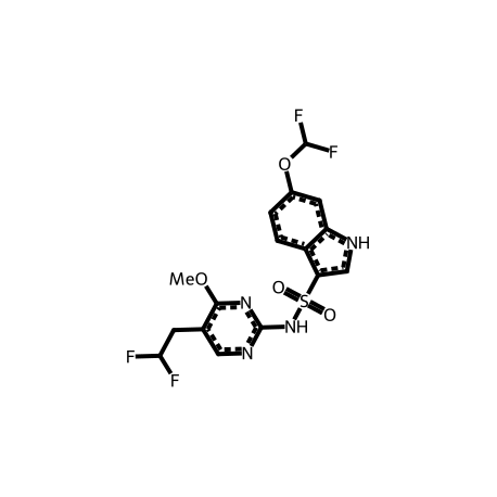 COc1nc(NS(=O)(=O)c2c[nH]c3cc(OC(F)F)ccc23)ncc1CC(F)F